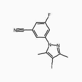 Cc1nn(-c2cc(F)cc(C#N)c2)c(C)c1I